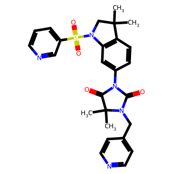 CC1(C)CN(S(=O)(=O)c2cccnc2)c2cc(N3C(=O)N(Cc4ccncc4)C(C)(C)C3=O)ccc21